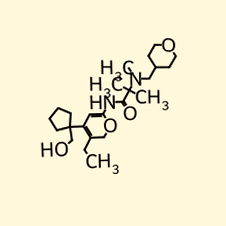 CCC1=C(C2(CO)CCCC2)C=C(NC(=O)C(C)(C)N(C)CC2CCOCC2)OC1